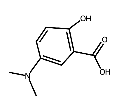 CN(C)c1ccc(O)c(C(=O)O)c1